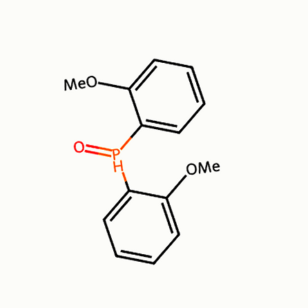 COc1ccccc1[PH](=O)c1ccccc1OC